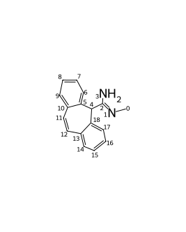 C/N=C(\N)C1c2ccccc2C=Cc2ccccc21